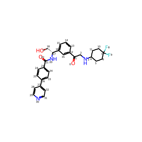 O=C(CNC1CCC(F)(F)CC1)c1cccc([C@@H](CO)NC(=O)c2ccc(-c3ccncc3)cc2)c1